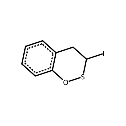 IC1Cc2ccccc2OS1